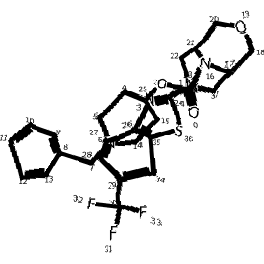 O=C(OC1CCN(Cc2ccccc2)CC1)N1C2COCC1CN(c1nc3ccc(C(F)(F)F)cc3s1)C2